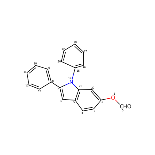 O=COc1ccc2cc(-c3ccccc3)n(-c3ccccc3)c2c1